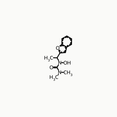 CC(c1cc2ccccc2o1)N(O)C(=O)N(C)C